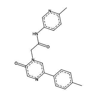 Cc1ccc(-c2cn(CC(=O)Nc3ccc(C)nc3)c(=O)cn2)cc1